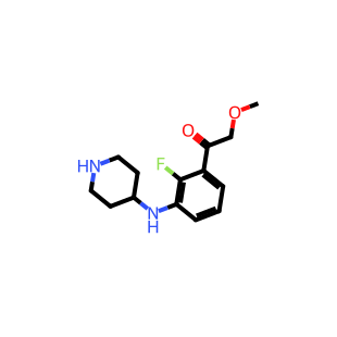 COCC(=O)c1cccc(NC2CCNCC2)c1F